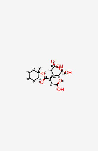 CC1(OC(=O)C(CC(=O)O)=C(CC(=O)O)CC(=O)O)CCCCC1